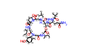 CCC(C)[C@@H]1NC(=O)[C@H](Cc2ccc(O)cc2)N(C)C(=O)[C@H](C(C)CC)NC(=O)[C@@H]2CC[C@H](O)N2C(=O)[C@H](CC(C)C)NC(=O)[C@@H](NC(=O)[C@H](CCC(N)=O)NC(=O)C(C)C)[C@@H](C)OC1=O